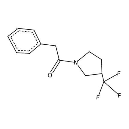 O=C(Cc1c[c]ccc1)N1CCC(C(F)(F)F)C1